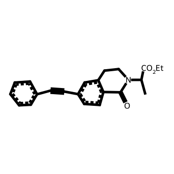 CCOC(=O)C(C)N1CCc2cc(C#Cc3ccccc3)ccc2C1=O